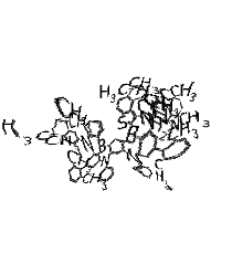 Cc1cccc(C)c1-c1cc2c3c(c1)N(c1ccccc1)c1cc4c(cc1B3c1ccccc1N2c1ccc2c(c1)C(C)(C)CCC2(C)C)B1c2sc3ccc5c(c3c2N(c2ccc3c(c2)C(C)(N)CCC3(C)C)c2cc(-c3c(C)cccc3C)cc(c21)N4c1ccccc1)C(C)(C)CCC5(C)C